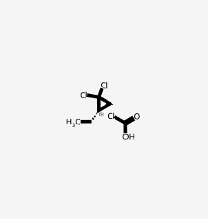 CC[C@H]1CC1(Cl)Cl.O=C(O)Cl